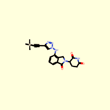 C[Si](C)(C)C#Cc1cn(Nc2cccc3c2CN(C2CCC(=O)NC2=O)C3=O)nn1